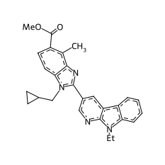 CCn1c2ccccc2c2cc(-c3nc4c(C)c(C(=O)OC)ccc4n3CC3CC3)cnc21